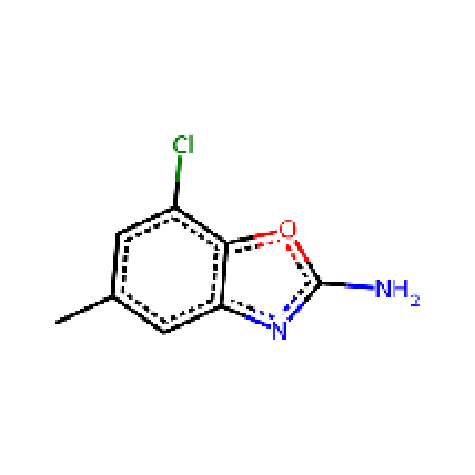 Cc1cc(Cl)c2oc(N)nc2c1